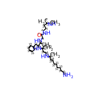 C=C(CCCNC(=O)CNC(=C)C(Cc1ccccc1)NC(=C)CCNC(=C)CCCCCCCCN)NC